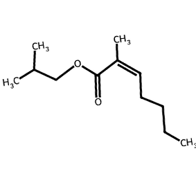 CCCCC=C(C)C(=O)OCC(C)C